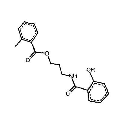 Cc1ccccc1C(=O)OCCCNC(=O)c1ccccc1O